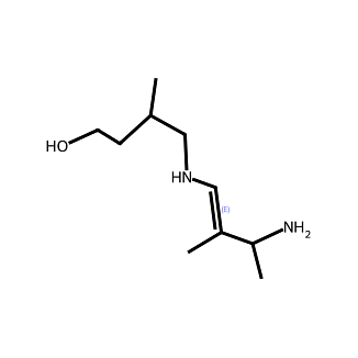 C/C(=C\NCC(C)CCO)C(C)N